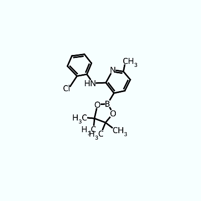 Cc1ccc(B2OC(C)(C)C(C)(C)O2)c(Nc2ccccc2Cl)n1